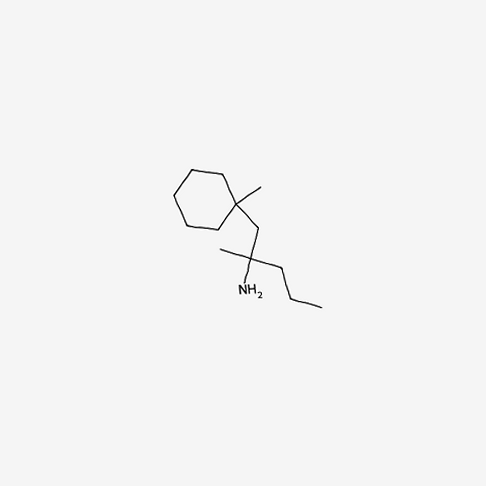 CCCC(C)(N)CC1(C)CCCCC1